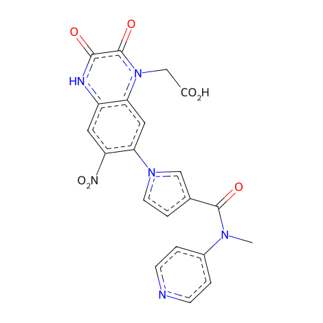 CN(C(=O)c1ccn(-c2cc3c(cc2[N+](=O)[O-])[nH]c(=O)c(=O)n3CC(=O)O)c1)c1ccncc1